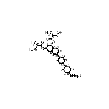 C=C(CO)C(=O)Oc1cc(OC(=O)C(C)CO)cc2cc(-c3ccc(C4CCC(CCCCCCC)CC4)cc3)ccc12